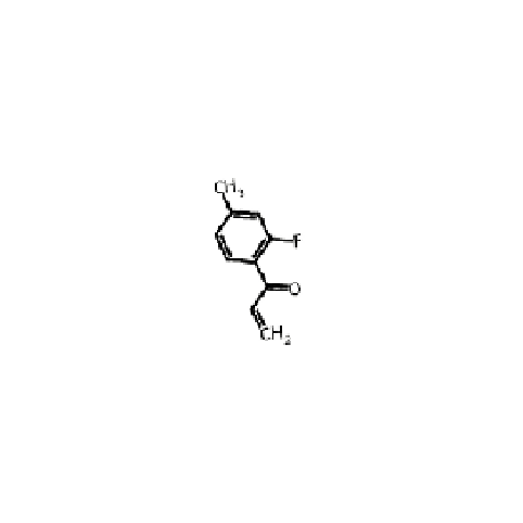 C=CC(=O)c1ccc(C)cc1F